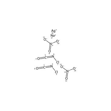 O=C=NCl.O=C=NCl.O=[N+]([O-])[O-].O=[N+]([O-])[O-].[Ag+].[Na+]